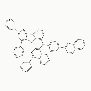 c1ccc(-c2cc(-c3ccccc3)c3oc4c(N(c5ccc(-c6ccc7ccccc7c6)cc5)c5ccc(-c6ccccc6)c6ccccc56)cccc4c3c2)cc1